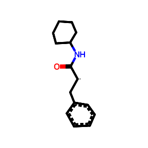 O=C([CH]Cc1ccccc1)NC1CCCCC1